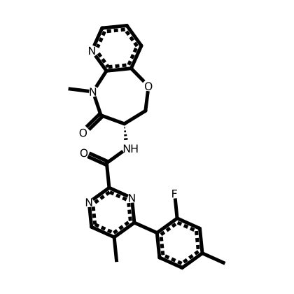 Cc1ccc(-c2nc(C(=O)N[C@H]3COc4cccnc4N(C)C3=O)ncc2C)c(F)c1